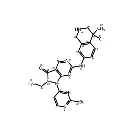 CC(C)(C)c1nccc(-n2c3nc(Nc4ccc5c(c4)CNCC5(C)C)ncc3c(=O)n2CC(F)(F)F)n1